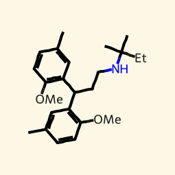 CCC(C)(C)NCCC(c1cc(C)ccc1OC)c1cc(C)ccc1OC